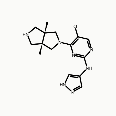 C[C@@]12CNC[C@]1(C)CN(c1nc(Nc3cn[nH]c3)ncc1Cl)C2